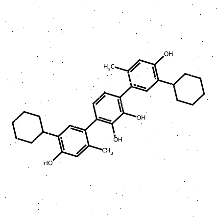 Cc1cc(O)c(C2CCCCC2)cc1-c1[c]cc(-c2cc(C3CCCCC3)c(O)cc2C)c(O)c1O